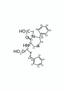 O=C(O)CN1C(=O)C(NC(CSc2ccccc2)C(=O)O)CSCC1c1ccccc1